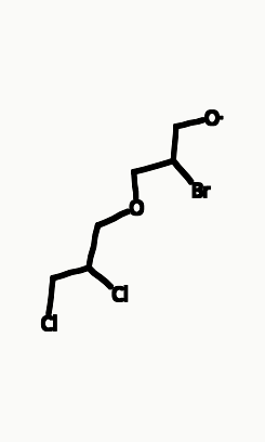 [O]CC(Br)COCC(Cl)CCl